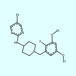 CCOc1cc(CN2CCC(Nc3ncc(CC)cn3)CC2)c(F)c(OCC)c1